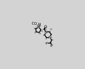 C[C@@H]1CN(CC(F)F)CCN1C(=O)[C@@H]1CCCN1C(=O)O